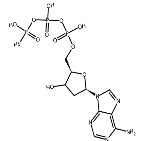 Nc1ncnc2c1ncn2[C@H]1CC(O)[C@@H](COP(=O)(O)OP(=O)(O)OP(=O)(O)S)O1